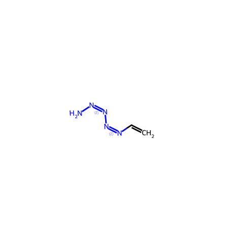 C=C/N=N\N=N/N